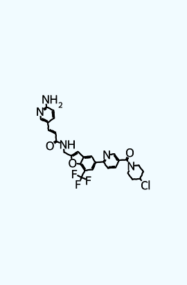 Nc1ccc(C=CC(=O)NCc2cc3cc(-c4ccc(C(=O)N5CCC(Cl)CC5)cn4)cc(C(F)(F)F)c3o2)cn1